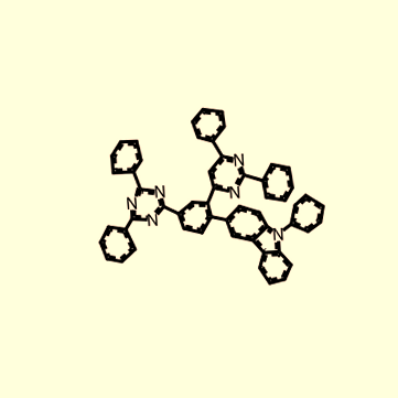 c1ccc(-c2cc(-c3cc(-c4nc(-c5ccccc5)nc(-c5ccccc5)n4)ccc3-c3ccc4c(c3)c3ccccc3n4-c3ccccc3)nc(-c3ccccc3)n2)cc1